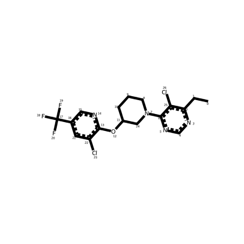 CCc1ncnc(N2CCCC(Oc3ncc(C(F)(F)F)cc3Cl)C2)c1Cl